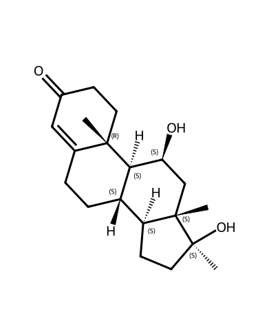 C[C@]12CCC(=O)C=C1CC[C@@H]1[C@@H]2[C@@H](O)C[C@@]2(C)[C@H]1CC[C@]2(C)O